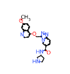 COc1ccc2c(OCc3nnc4ccc(C(=O)N[C@@H]5CCNC5)cn34)ccnc2c1